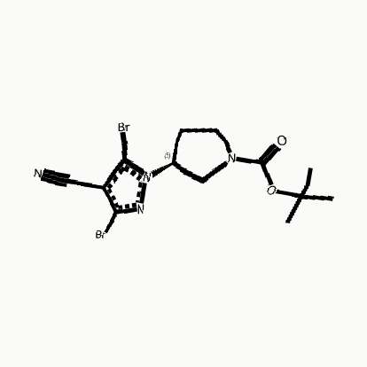 CC(C)(C)OC(=O)N1CC[C@H](n2nc(Br)c(C#N)c2Br)C1